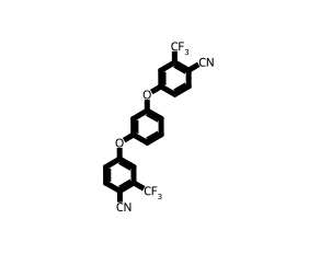 N#Cc1ccc(Oc2cccc(Oc3ccc(C#N)c(C(F)(F)F)c3)c2)cc1C(F)(F)F